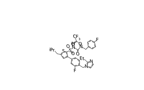 CCc1nccn1Cc1ccc(-c2cc(CC(C)C)sc2S(=O)(=O)NC(=O)N(Cc2ccc(F)cc2)OC(=O)C(F)(F)F)cc1F